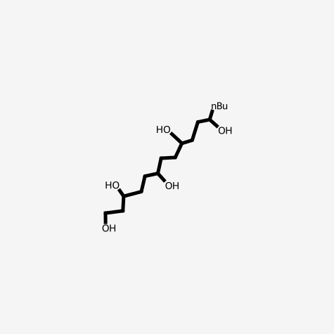 CCCCC(O)CCC(O)CCC(O)CCC(O)CCO